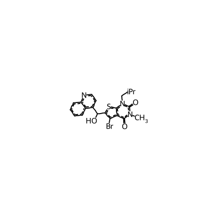 CC(C)Cn1c(=O)n(C)c(=O)c2c(Br)c(C(O)c3ccnc4ccccc34)sc21